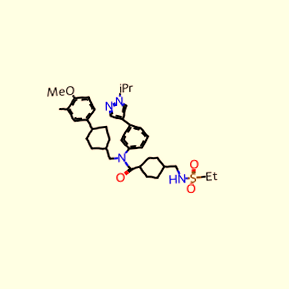 CCS(=O)(=O)NCC1CCC(C(=O)N(CC2CCC(c3ccc(OC)c(C)c3)CC2)c2cccc(-c3cnn(C(C)C)c3)c2)CC1